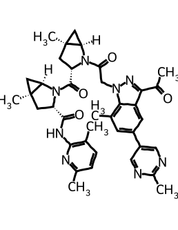 CC(=O)c1nn(CC(=O)N2[C@H](C(=O)N3[C@H](C(=O)Nc4nc(C)ccc4C)C[C@@]4(C)C[C@@H]34)C[C@@]3(C)C[C@@H]23)c2c(C)cc(-c3cnc(C)nc3)cc12